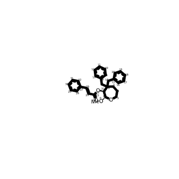 CO[C@H]1OCCCC(Cc2ccccc2)(Cc2ccccc2)[C@@H]1OC(=O)/C=C/c1ccccc1